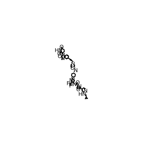 CN(C[C@H]1CN(CC#Cc2ccc3c(c2)n(C)c(=O)n3C2CCC(=O)NC2=O)CCO1)C[C@H]1CC[C@H](n2cc(NC(=O)c3coc(-c4ccnc(NCC5CC5)c4)n3)c(C(F)F)n2)CC1